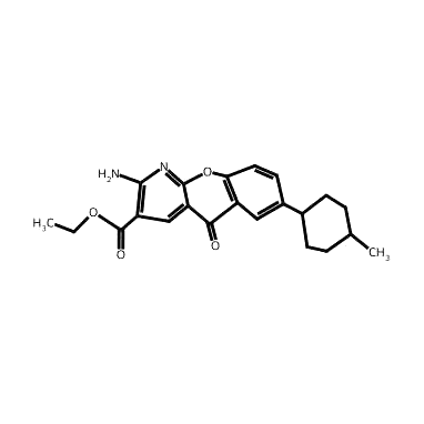 CCOC(=O)c1cc2c(=O)c3cc(C4CCC(C)CC4)ccc3oc2nc1N